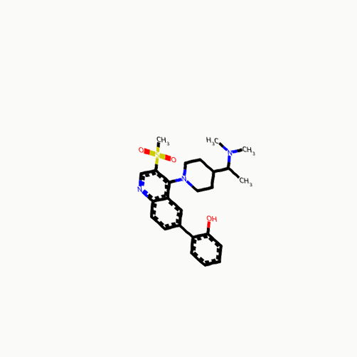 CC(C1CCN(c2c(S(C)(=O)=O)cnc3ccc(-c4ccccc4O)cc23)CC1)N(C)C